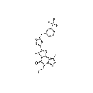 CCCn1c(=O)c2[nH]c(-c3cnn(Cc4cccc(C(F)(F)F)c4)c3)nc2n2c(C)cnc12